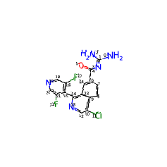 NC(N)=NC(=O)c1ccc2c(Cl)cnc(-c3c(F)cncc3F)c2c1